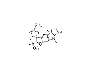 CN1c2ccc([C@]3(OC(N)=O)CC[N@@+](C)(O)C3=O)cc2[C@]2(C)CCNC12